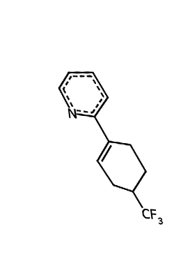 FC(F)(F)C1CC=C(c2ccccn2)CC1